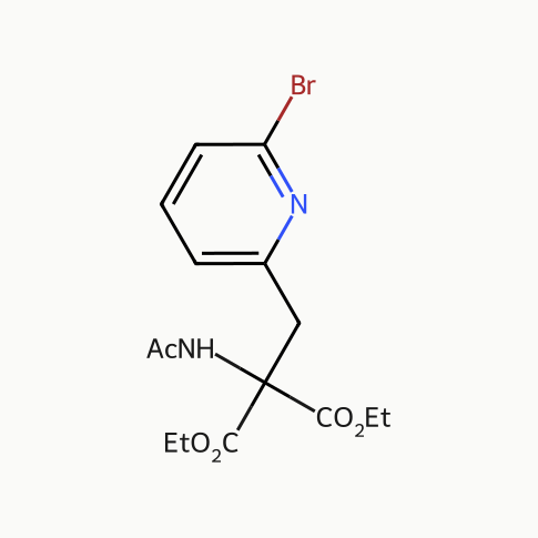 CCOC(=O)C(Cc1cccc(Br)n1)(NC(C)=O)C(=O)OCC